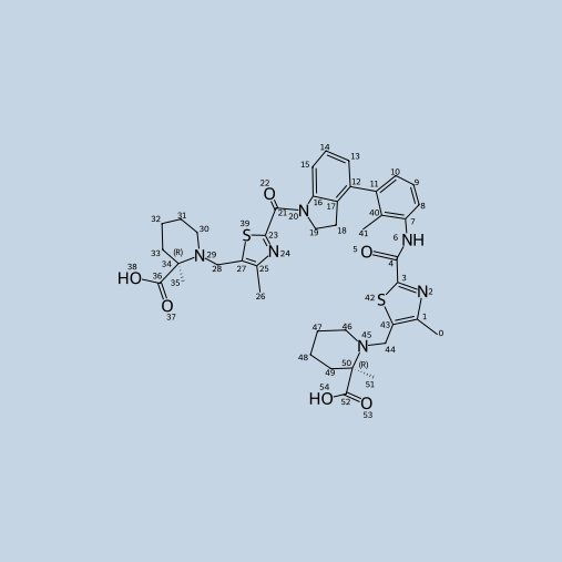 Cc1nc(C(=O)Nc2cccc(-c3cccc4c3CCN4C(=O)c3nc(C)c(CN4CCCC[C@]4(C)C(=O)O)s3)c2C)sc1CN1CCCC[C@]1(C)C(=O)O